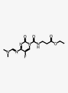 CCOC(=O)CCNC(=O)n1cc(F)c(/N=C/N(C)C)nc1=O